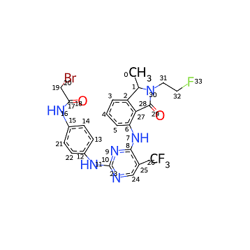 CC1c2cccc(Nc3nc(Nc4ccc(NC(=O)CBr)cc4)ncc3C(F)(F)F)c2C(=O)N1CCF